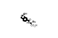 CC[C@@H](C)[C@H](NC(=O)c1ccc2c(c1)B(O)OC2)C(=O)O